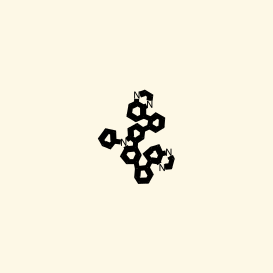 c1ccc(-n2c3ccc(-c4ccccc4-c4cccc5nccnc45)cc3c3cc(-c4ccccc4-c4cccc5nccnc45)ccc32)cc1